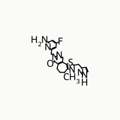 CC1CCc2c(cnn(Cc3cc(F)cc(N)n3)c2=O)-c2sc(Cc3cc[nH]n3)nc21